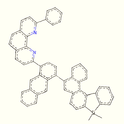 C[Si]1(C)c2ccccc2-c2c1ccc1cc(-c3ccc(-c4ccc5ccc6ccc(-c7ccccc7)nc6c5n4)c4cc5ccccc5cc34)c3ccccc3c21